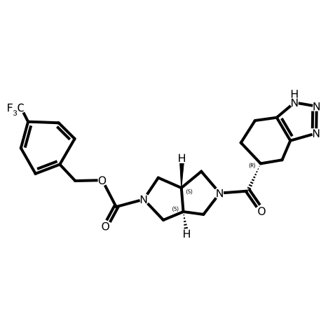 O=C(OCc1ccc(C(F)(F)F)cc1)N1C[C@@H]2CN(C(=O)[C@@H]3CCc4[nH]nnc4C3)C[C@H]2C1